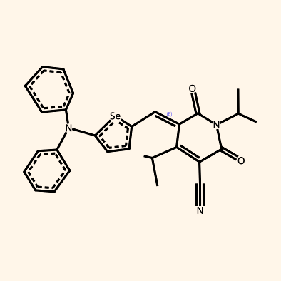 CC(C)C1=C(C#N)C(=O)N(C(C)C)C(=O)/C1=C/c1ccc(N(c2ccccc2)c2ccccc2)[se]1